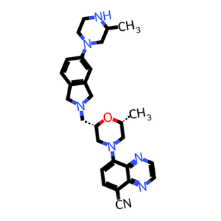 CC1CN(c2ccc3c(c2)CN(C[C@H]2CN(c4ccc(C#N)c5nccnc45)C[C@@H](C)O2)C3)CCN1